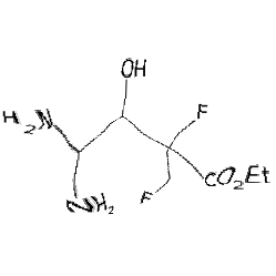 CCOC(=O)C(F)(F)C(O)C(N)N